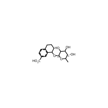 CC1O[C@@H](OC2CCCc3ccc(C(=O)O)cc32)C(O)C(O)[C@@H]1O